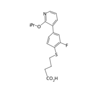 CC(C)Oc1ncccc1-c1ccc(SCCCC(=O)O)c(F)c1